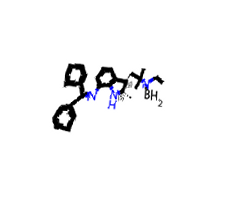 BN(CC)C(C)(C)C[C@H]1c2cccc(N=C(c3ccccc3)c3ccccc3)c2N[C@H]1C